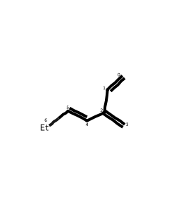 C=CC(=C)C=CCC